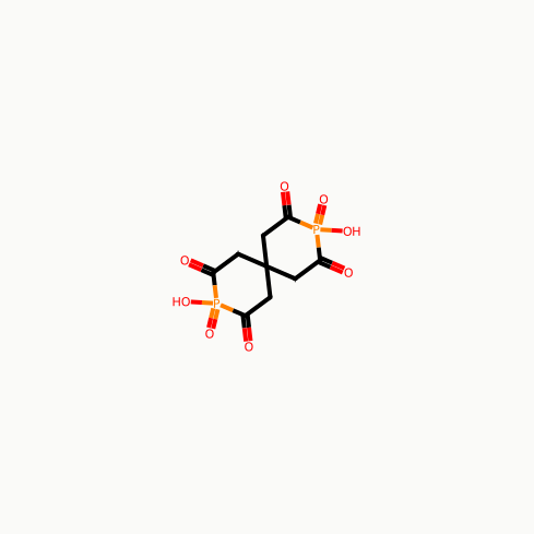 O=C1[CH]C2([CH]C(=O)P(=O)(O)C(=O)C2)CC(=O)P1(=O)O